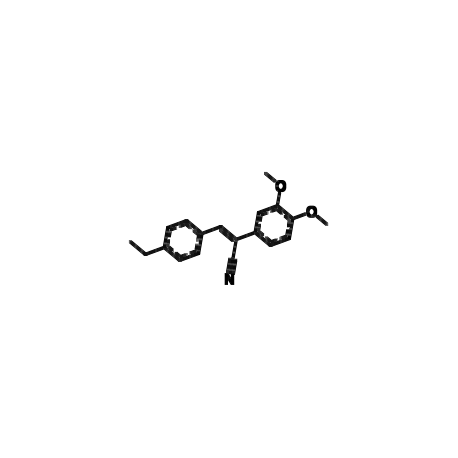 CCc1ccc(C=C(C#N)c2ccc(OC)c(OC)c2)cc1